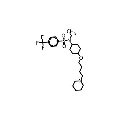 CCN(C1CCC(OCCCCN2CCCCC2)CC1)S(=O)(=O)c1ccc(C(F)(F)F)cc1